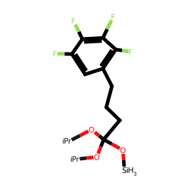 CC(C)OC(CCCc1cc(F)c(F)c(F)c1F)(O[SiH3])OC(C)C